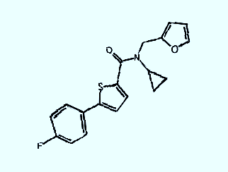 O=C(c1ccc(-c2ccc(F)cc2)s1)N(Cc1ccco1)C1CC1